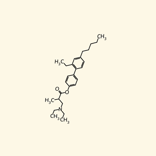 CCCCCc1ccc(-c2ccc(OC(=O)C(C)CN(CC)CC)cc2)c(CC)c1